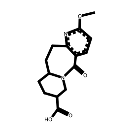 COc1ccc2c(n1)CCC1CCC(C(=O)O)CN1C2=O